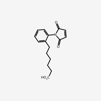 O=C(O)CCCCCc1ccccc1N1C(=O)C=CC1=O